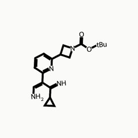 CC(C)(C)OC(=O)N1CC(c2cccc(/C(=C/N)C(=N)C3CC3)n2)C1